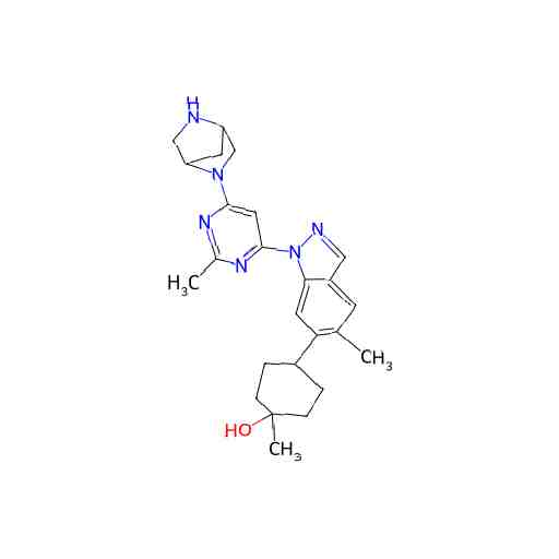 Cc1nc(N2CC3CC2CN3)cc(-n2ncc3cc(C)c(C4CCC(C)(O)CC4)cc32)n1